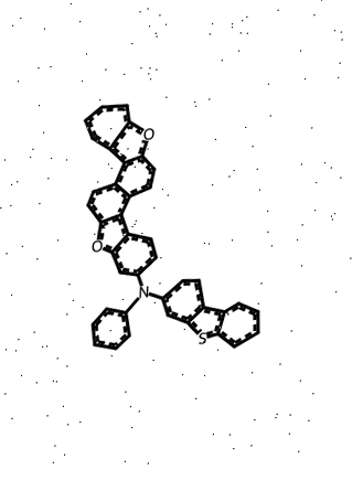 c1ccc(N(c2ccc3c(c2)oc2ccc4c(ccc5oc6ccccc6c54)c23)c2ccc3c(c2)sc2ccccc23)cc1